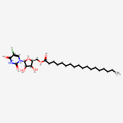 CCCCCCCCCCCCCCCCCC(=O)OC[C@@H]1O[C@H](n2cc(F)c(=O)[nH]c2=O)C(O)C1O